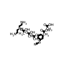 CC(=O)O.CC(=O)O.CC(=O)O.CC(=O)O.CC(=O)O.N#CSc1ccccc1.NCCNCCN